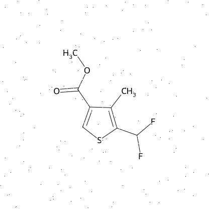 COC(=O)c1csc(C(F)F)c1C